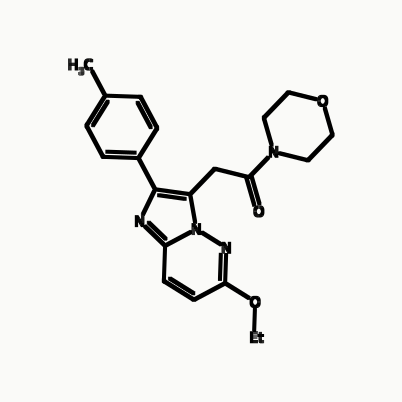 CCOc1ccc2nc(-c3ccc(C)cc3)c(CC(=O)N3CCOCC3)n2n1